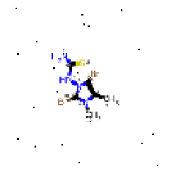 CC1=C(Br)N(NC(N)=S)C(Br)N1C